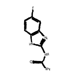 CC(C)C(=O)Nc1nc2cc(F)ccc2[nH]1